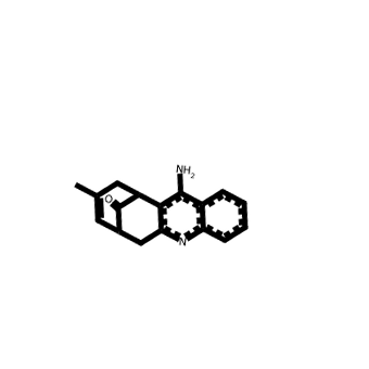 CC1=CC2Cc3nc4ccccc4c(N)c3C(C1)C2=O